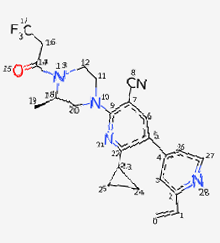 C=Cc1cc(-c2cc(C#N)c(N3CCN(C(=O)CC(F)(F)F)[C@H](C)C3)nc2C2CC2)ccn1